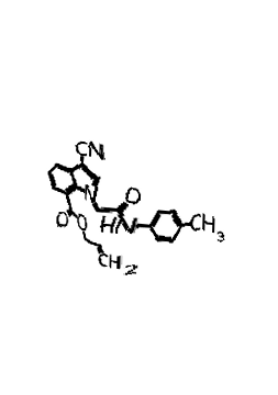 C=CCOC(=O)c1cccc2c(C#N)cn(CC(=O)Nc3ccc(C)cc3)c12